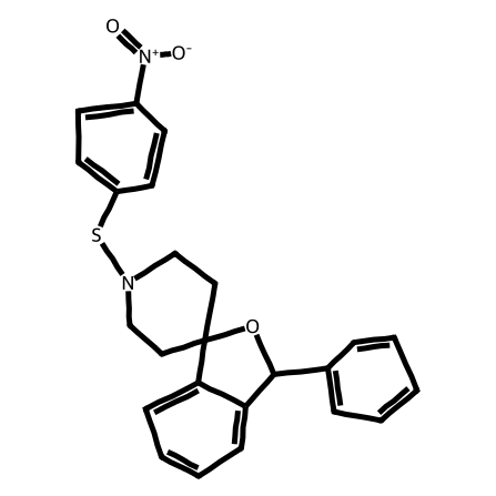 O=[N+]([O-])c1ccc(SN2CCC3(CC2)OC(c2ccccc2)c2ccccc23)cc1